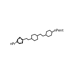 CCCCCC1CCC(CCC2CCC(CCc3ccc(CCC)cc3)CC2)CC1